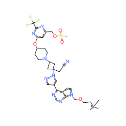 C[Si](C)(C)CCOCn1ccc2c(-c3cnn(C4(CC#N)CC(N5CCC(Oc6cc(COS(C)(=O)=O)nc(C(F)(F)F)n6)CC5)C4)c3)ncnc21